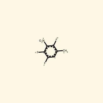 Cc1cc(F)c(F)c([N+](=O)[O-])c1F